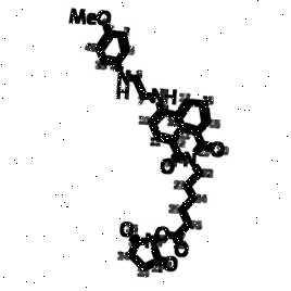 COc1ccc(NCCNc2ccc3c4c(cccc24)C(=O)N(CCCCCC(=O)ON2C(=O)CCC2=O)C3=O)cc1